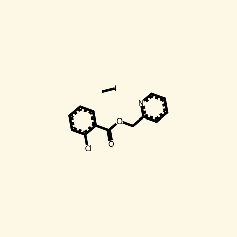 CI.O=C(OCc1ccccn1)c1ccccc1Cl